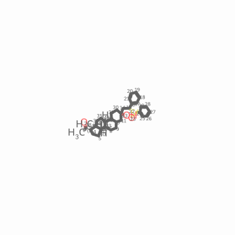 CC(=O)[C@H]1CC[C@H]2[C@@H]3CCC4CC(O)(CC(c5ccccc5)[S+]([O-])c5ccccc5)CC[C@]4(C)[C@H]3CC[C@]12C